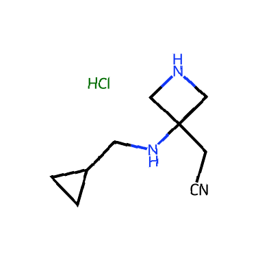 Cl.N#CCC1(NCC2CC2)CNC1